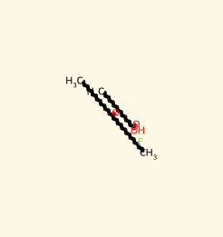 CCCCCCCCCCCCCCCC(=O)CCCCCCCCCCCC(F)CCC.CCCCCCCCCCCCCCCC(=O)O